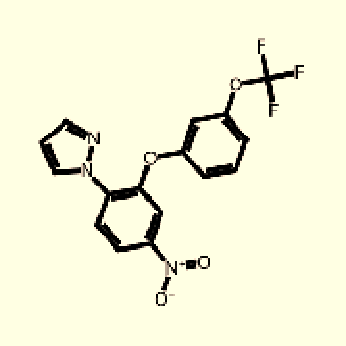 O=[N+]([O-])c1ccc(-n2cccn2)c(Oc2cccc(OC(F)(F)F)c2)c1